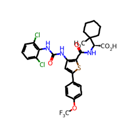 CC1([C@H](NC(=O)c2sc(-c3ccc(OC(F)(F)F)cc3)cc2NC(=O)Nc2c(Cl)cccc2Cl)C(=O)O)CCCCC1